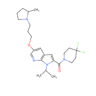 CC1CCCN1CCCOc1cnc2c(c1)cc(C(=O)N1CCC(F)(F)CC1)n2C(C)C